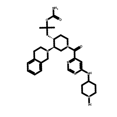 CC(=O)N1CCC(Nc2cc(C(=O)N3CC[C@@H](CC(C)(C)OC(N)=O)[C@H](N4CCc5ccccc5C4)C3)ncn2)CC1